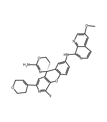 COc1cnc2c(Nc3ccc4c(c3)[C@@]3(CCOC(N)=N3)c3cc(C5=CCOCC5)nc(F)c3O4)nccc2c1